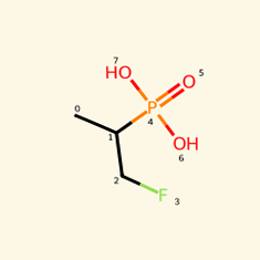 CC(CF)P(=O)(O)O